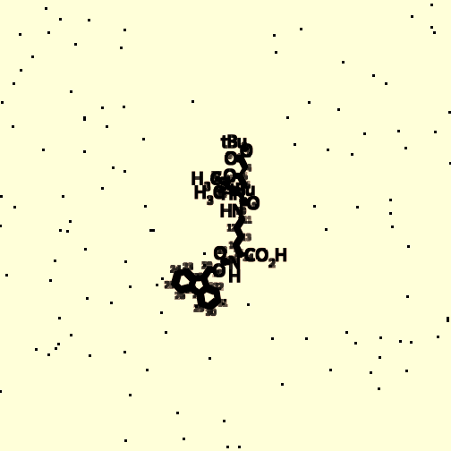 CC(C)(C)OC(=O)C[C@@H](CNC(=O)NCCCC[C@H](NC(=O)OCC1c2ccccc2-c2ccccc21)C(=O)O)O[Si](C)(C)C(C)(C)C